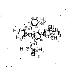 CC(COc1cccc(B2OC(C)(C)C(C)(C)O2)c1)N(C)C.CC(COc1cccc(N)c1)N(C)C